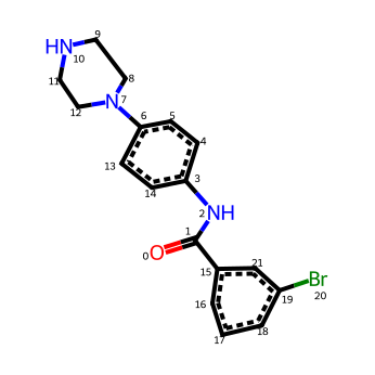 O=C(Nc1ccc(N2CCNCC2)cc1)c1cccc(Br)c1